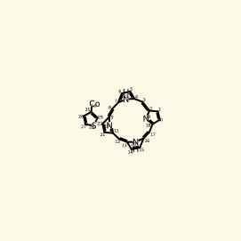 C1=Cc2cc3ccc(cc4nc(cc5ccc(cc1n2)[nH]5)C=C4)[nH]3.[Co][c]1ccsc1